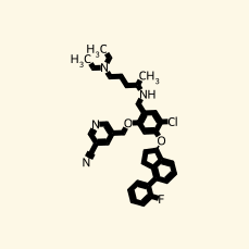 CCN(CC)CCCC(C)NCc1cc(Cl)c(O[C@H]2CCc3c(-c4ccccc4F)cccc32)cc1OCc1cncc(C#N)c1